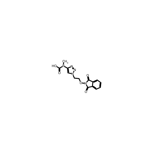 CN(C(=O)O)c1cn(CCON2C(=O)c3ccccc3C2=O)nn1